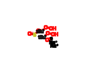 C=O.CC(C)(C)OO.CC(C)(C)OO.[Na+].[Na+].[O-]S[O-]